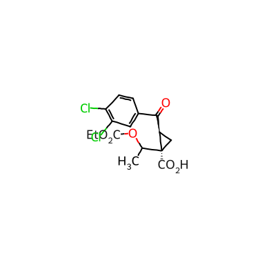 CCOC(=O)OC(C)[C@]1(C(=O)O)C[C@@H]1C(=O)c1ccc(Cl)c(Cl)c1